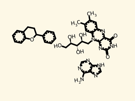 Cc1cc2nc3c(=O)[nH]c(=O)nc-3n(C[C@H](O)[C@H](O)[C@H](O)CO)c2cc1C.Nc1ncnc2[nH]cnc12.c1ccc(C2CCc3ccccc3O2)cc1